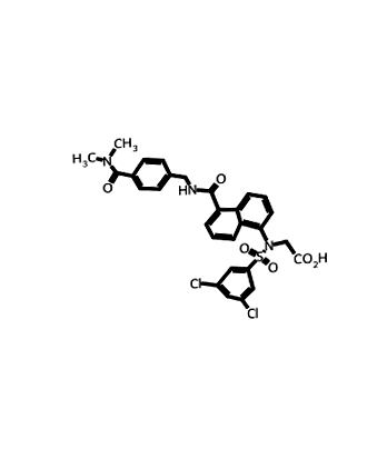 CN(C)C(=O)c1ccc(CNC(=O)c2cccc3c(N(CC(=O)O)S(=O)(=O)c4cc(Cl)cc(Cl)c4)cccc23)cc1